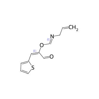 C=CC/N=C/O/C(C=O)=C/c1cccs1